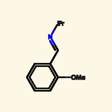 COc1ccccc1C=NC(C)C